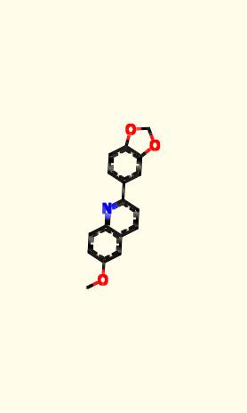 COc1ccc2nc(-c3ccc4c(c3)OCO4)ccc2c1